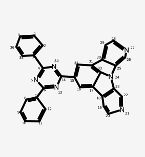 c1ccc(-c2nc(-c3ccccc3)nc(-c3cc4c5ccncc5n5c6cnccc6c(c3)c45)n2)cc1